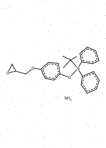 CC(C)(C)[Si](Oc1ccc(OCC2CO2)cc1)(c1ccccc1)c1ccccc1.[SiH4]